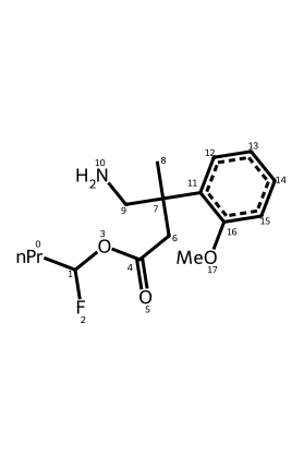 CCCC(F)OC(=O)CC(C)(CN)c1ccccc1OC